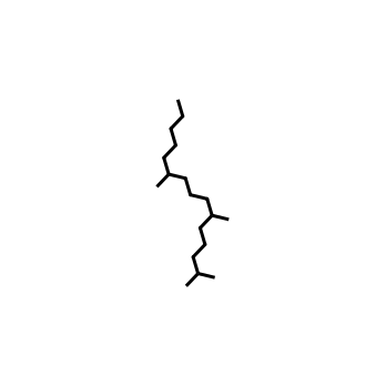 CCCCCC(C)CCCC(C)CCCC(C)C